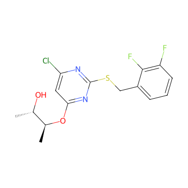 C[C@H](O)[C@H](C)Oc1cc(Cl)nc(SCc2cccc(F)c2F)n1